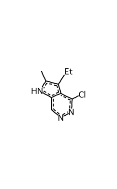 CCc1c(C)[nH]c2cnnc(Cl)c12